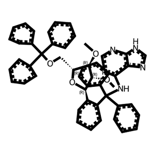 CO[C@H]1[C@H](OC)[C@@H](COC(c2ccccc2)(c2ccccc2)c2ccccc2)O[C@@H]1c1ccccc1C(Nc1ncnc2[nH]cnc12)(c1ccccc1)c1ccccc1